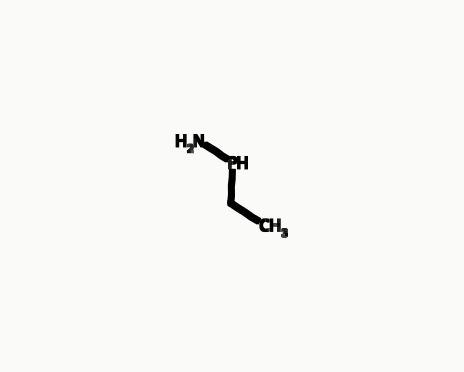 CCPN